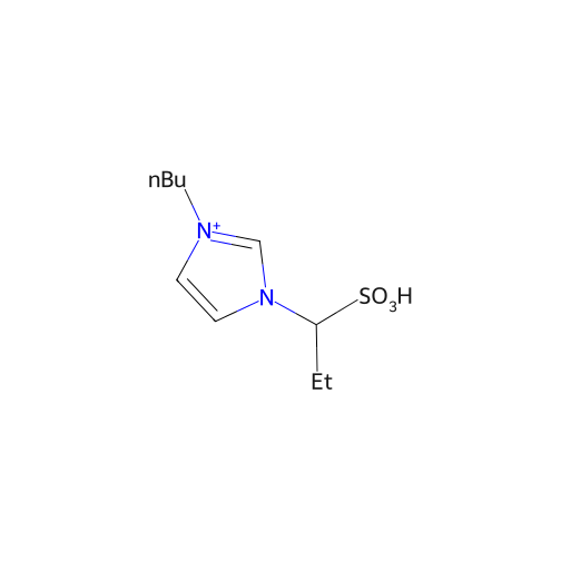 CCCC[n+]1ccn(C(CC)S(=O)(=O)O)c1